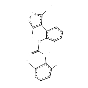 O=C(Nc1ccccc1-c1c(C(F)(F)F)n[nH]c1C(F)(F)F)Oc1c(F)cccc1F